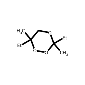 CCC1(C)COC(C)(CC)OO1